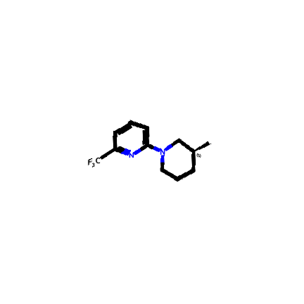 [CH2][C@H]1CCCN(c2cccc(C(F)(F)F)n2)C1